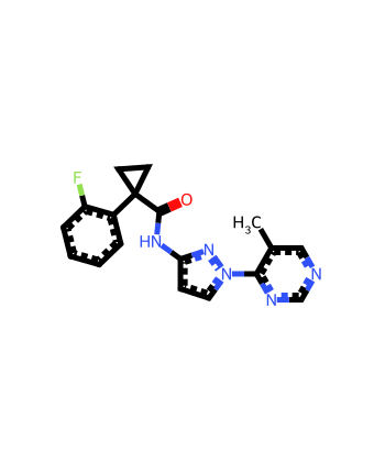 Cc1cncnc1-n1ccc(NC(=O)C2(c3ccccc3F)CC2)n1